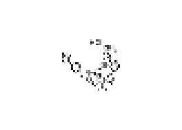 Cc1ncsc1-c1ccc([C@H](C)NC(=O)[C@@H]2C[C@@H](O)CN2C(=O)[C@H](C(C)C)n2cc(-c3ccnc(N4CC[C@H](N)C4)c3)cn2)cc1.Cl